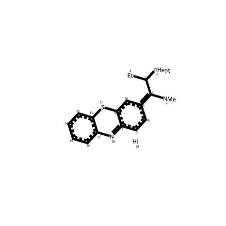 CCCCCCCC(CC)C(NC)=c1ccc2c(c1)Sc1ccccc1N=2.I